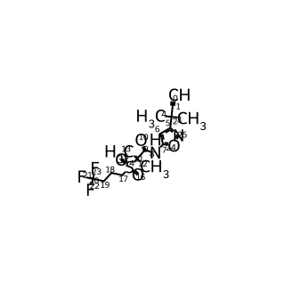 C#CC(C)(C)c1cc(NC(=O)C(C)(C)S(=O)(=O)CCCC(F)(F)F)on1